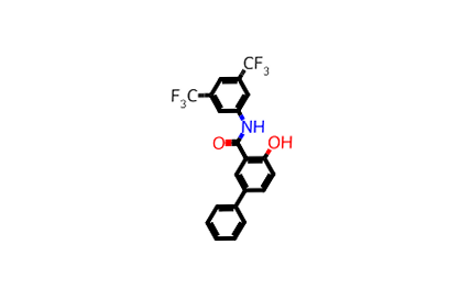 O=C(Nc1cc(C(F)(F)F)cc(C(F)(F)F)c1)c1cc(-c2ccccc2)ccc1O